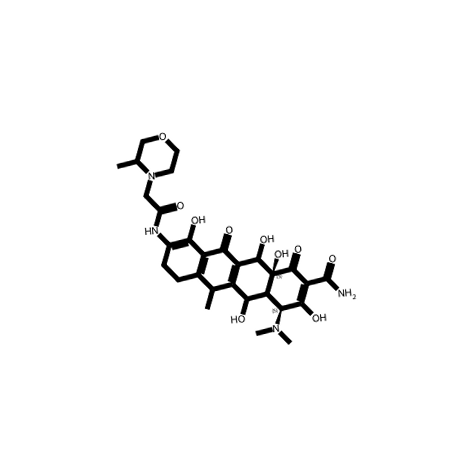 CC1C2=C(C(=O)C3=C1C(O)C1[C@H](N(C)C)C(O)=C(C(N)=O)C(=O)[C@@]1(O)C3O)C(O)=C(NC(=O)CN1CCOCC1C)CC2